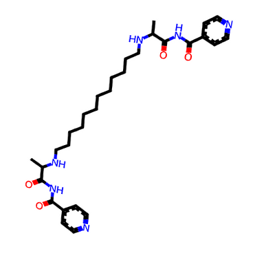 CC(NCCCCCCCCCCCCNC(C)C(=O)NC(=O)c1ccncc1)C(=O)NC(=O)c1ccncc1